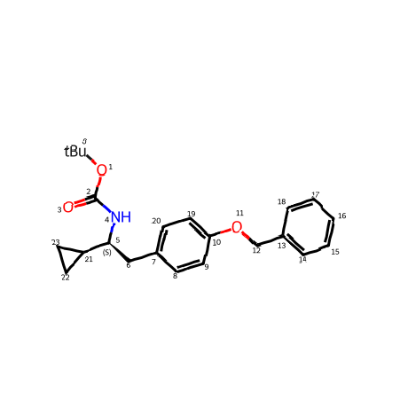 CC(C)(C)OC(=O)N[C@@H](Cc1ccc(OCc2ccccc2)cc1)C1CC1